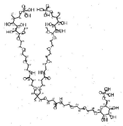 COC(OCCOCCOCCNC(=O)CCOCC(C)(COCCC(=O)NCCOCCOCCOC(OC)C(O)C(O)C(O)C(C)COP(=O)(O)O)COCCC(=O)NCCOCCOCCOC1OC(COP(=O)(O)O)C(O)C(O)C1O)C(O)C(O)C(O)C(C)COP(=O)(O)O